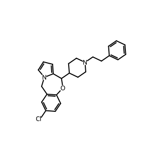 Clc1ccc2c(c1)Cn1cccc1C(C1CCN(CCc3ccccc3)CC1)O2